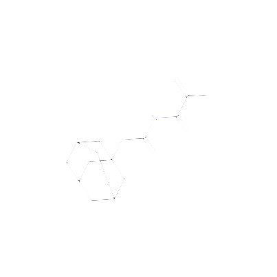 C=C(C)C(=O)NC(=O)CC12CC3CC(CC(C3)C1)C2